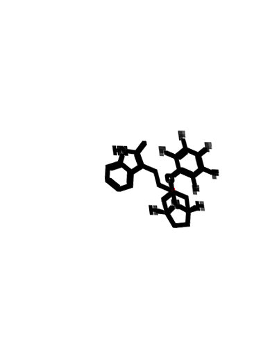 Cc1[nH]c2ccccc2c1CCCN1[C@@H]2CC[C@H]1C[C@H](Oc1c(F)c(F)c(F)c(F)c1F)C2